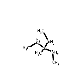 C[SiH2][Si](C)([SiH2]C)[SiH2]C